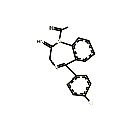 CC(=N)N1C(=N)CN=C(c2ccc(Cl)cc2)c2ccccc21